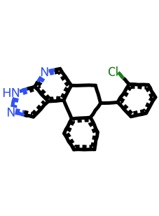 Clc1ccccc1C1Cc2cnc3[nH]ncc3c2-c2ccccc21